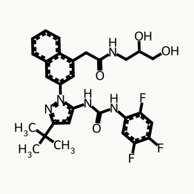 CC(C)(C)c1cc(NC(=O)Nc2cc(F)c(F)cc2F)n(-c2cc(CC(=O)NCC(O)CO)c3ccccc3c2)n1